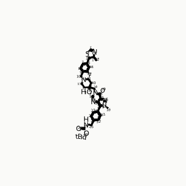 CC1N=CSC1c1ccc(CN2CCC(O)(Cn3cnc4c(-c5ccc(CNC(=O)OC(C)(C)C)cc5)n(C)nc4c3=O)CC2)c(F)c1